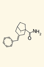 NC(=O)C12[CH]C(CC1)CC(=Cc1ccccc1)C2